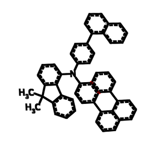 CC1(C)c2ccccc2-c2c(N(c3ccc(-c4cccc5ccccc45)cc3)c3ccc(-c4cccc5cccc(-c6ccccc6)c45)cc3)cccc21